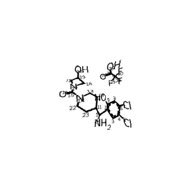 NC(c1cc(Cl)c(Cl)cc1O)C1CCN(C(=O)N2CC(O)C2)CC1.O=C(O)C(F)(F)F